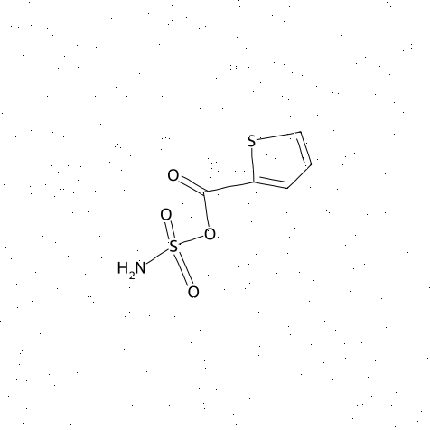 NS(=O)(=O)OC(=O)c1cccs1